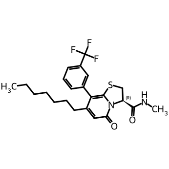 CCCCCCCc1cc(=O)n2c(c1-c1cccc(C(F)(F)F)c1)SC[C@H]2C(=O)NC